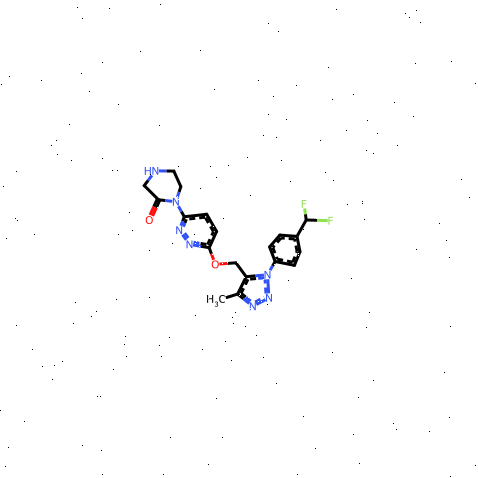 Cc1nnn(-c2ccc(C(F)F)cc2)c1COc1ccc(N2CCNCC2=O)nn1